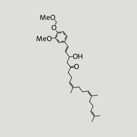 COCOc1ccc(C=CC(O)CC(=O)CCC=C(C)CCC=C(C)CCC=C(C)C)cc1OC